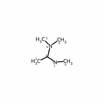 C[N]C(C)N(C)C